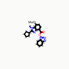 COc1ccc(C(=O)On2nnc3ccccc32)c2nc(C3CCCC3)n(C)c12